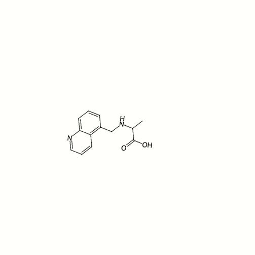 CC(NCc1cccc2ncccc12)C(=O)O